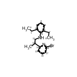 CCc1cccc(CC)c1NCC(C)c1cccc(Br)n1